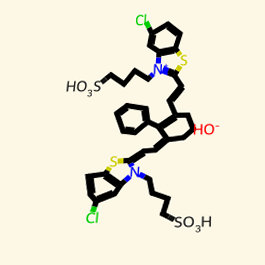 O=S(=O)(O)CCCCN1C(=CC=C2CCCC(C=Cc3sc4ccc(Cl)cc4[n+]3CCCCS(=O)(=O)O)=C2c2ccccc2)Sc2ccc(Cl)cc21.[OH-]